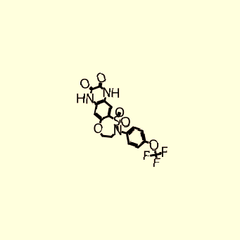 O=c1[nH]c2cc3c(cc2[nH]c1=O)S(=O)(=O)N(c1ccc(OC(F)(F)F)cc1)CCO3